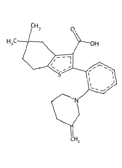 C=C1CCCN(c2ccccc2-c2sc3c(c2C(=O)O)CC(C)(C)CC3)C1